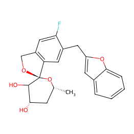 C[C@@H]1C[C@H](O)C(O)[C@@]2(OCc3cc(F)c(Cc4cc5ccccc5o4)cc32)O1